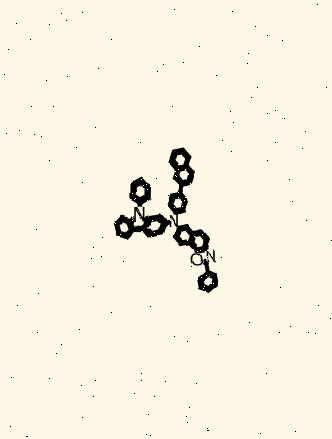 c1ccc(-c2nc3ccc4cc(N(c5ccc(-c6ccc7ccccc7c6)cc5)c5ccc6c7ccccc7n(-c7ccccc7)c6c5)ccc4c3o2)cc1